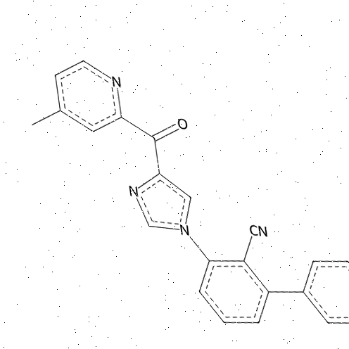 Cc1ccnc(C(=O)c2cn(-c3cccc(-c4ccccc4)c3C#N)cn2)c1